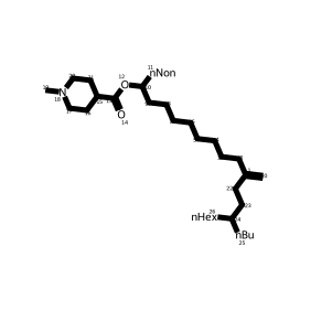 C=C(CCCCCCCCC(CCCCCCCCC)OC(=O)C1CCN(C)CC1)CCC(CCCC)CCCCCC